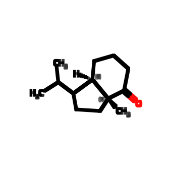 CC(C)C1CC[C@@]2(C)C(=O)CCC[C@H]12